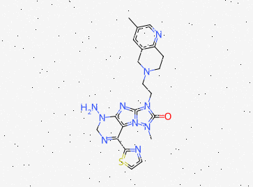 Cc1cnc2c(c1)CN(CCn1c(=O)n(C)n3c4c(nc13)N(N)CN=C4c1nccs1)CC2